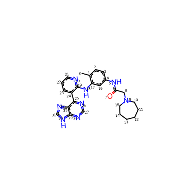 Cc1ccc(NC(=O)CN2CCCCCC2)cc1Nc1ncccc1-c1ncnc2[nH]cnc12